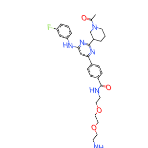 CC(=O)N1CCCC(c2nc(Nc3cccc(F)c3)cc(-c3ccc(C(=O)NCCOCCOCCN)cc3)n2)C1